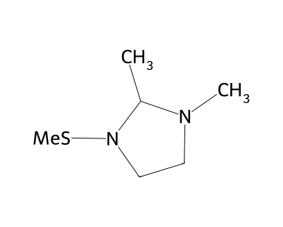 CSN1CCN(C)C1C